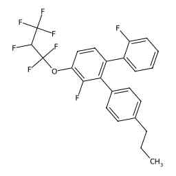 CCCc1ccc(-c2c(-c3ccccc3F)ccc(OC(F)(F)C(F)C(F)(F)F)c2F)cc1